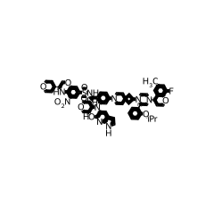 Cc1cc(F)c2c(c1)[C@@H](N1CCN(C3CC4(CCN(c5ccc(C(=O)NS(=O)(=O)c6cc7c(c([N+](=O)[O-])c6)N[C@H](C6CCOCC6)CO7)c(N6c7cc8cc[nH]c8nc7O[C@H]7COCC[C@@H]76)c5)CC4)C3)[C@H](c3ccccc3OC(C)C)C1)CCO2